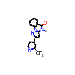 Cn1c(=O)c2ccccc2n2nc(-c3ccnc(C(F)(F)F)c3)cc12